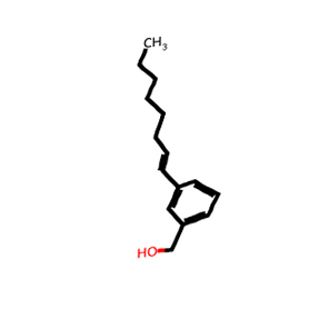 CCCCCC/C=C/c1cccc(CO)c1